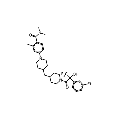 CCc1cccc(C(O)(C(=O)N2CCC(CC3CCN(c4ccc(C(=O)N(C)C)c(C)c4)CC3)CC2)C(F)(F)F)c1